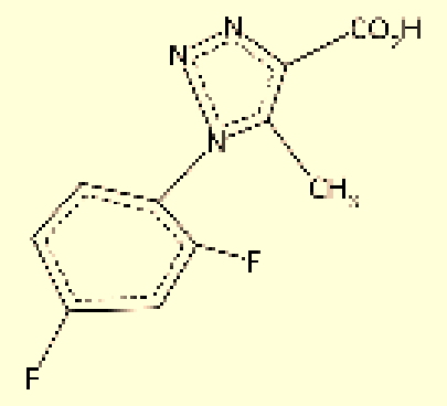 Cc1c(C(=O)O)nnn1-c1ccc(F)cc1F